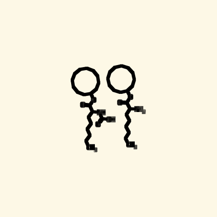 CCCCCCC(N)C(=O)OC1CCCCCCCCCCC1.CCCCCCC(NC(=O)O)C(=O)OC1CCCCCCCCCCC1